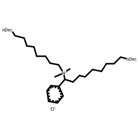 CCCCCCCCCCCCCCCCCCC(c1ccccc1)[N+](C)(C)CCCCCCCCCCCCCCCCCC.[Cl-]